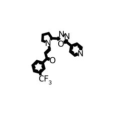 O=C(C=CN1CCCC1c1nnc(-c2ccncc2)o1)c1cccc(C(F)(F)F)c1